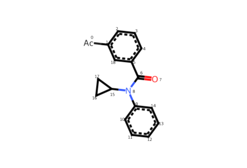 CC(=O)c1cccc(C(=O)N(c2ccccc2)C2CC2)c1